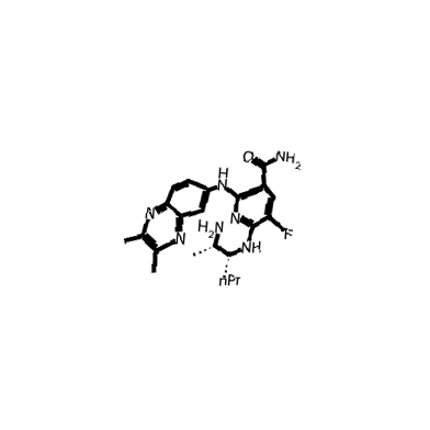 CCC[C@@H](Nc1nc(Nc2ccc3nc(C)c(C)nc3c2)c(C(N)=O)cc1F)[C@H](C)N